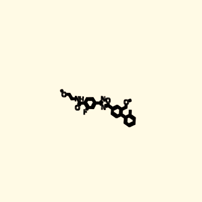 COCCNC(=O)c1ccc(-c2noc(-c3ccc(-c4ccccc4C)c(COC)c3)n2)cc1F